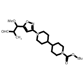 COC(c1cc(N2CCC(C3CCN(C(=O)OC(C)(C)C)CC3)CC2)no1)C(C)C=O